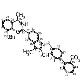 Cc1c(C)n(Cc2ccc(-c3ccccc3C(=O)O)cc2)c2ccc(C(=O)NC(C)c3cccc(C(C)(C)C)c3)cc12